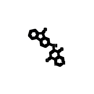 O=C1c2ccccc2-c2ccc(NC3=CC(=O)c4ncncc4C3=O)cc21